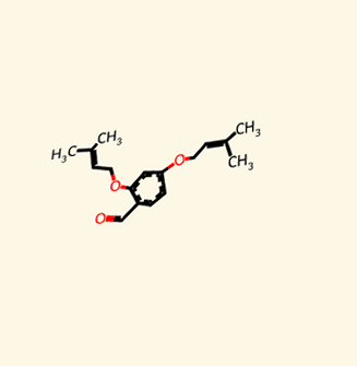 CC(C)=CCOc1ccc(C=O)c(OCC=C(C)C)c1